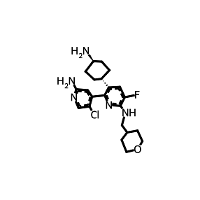 Nc1cc(-c2nc(NCC3CCOCC3)c(F)cc2[C@H]2CC[C@H](N)CC2)c(Cl)cn1